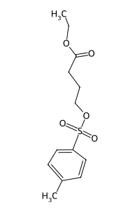 CCOC(=O)CCCOS(=O)(=O)c1ccc(C)cc1